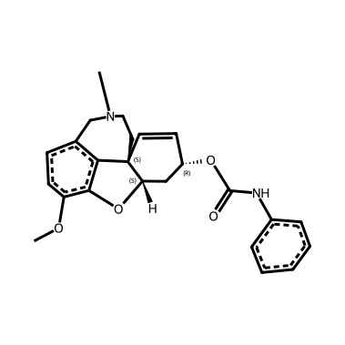 COc1ccc2c3c1O[C@H]1C[C@@H](OC(=O)Nc4ccccc4)C=C[C@@]31CCN(C)C2